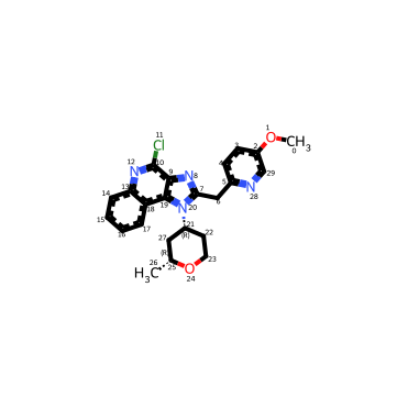 COc1ccc(Cc2nc3c(Cl)nc4ccccc4c3n2[C@@H]2CCO[C@H](C)C2)nc1